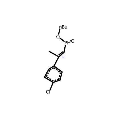 CCCCO[PH](=O)/C=C(\C)c1ccc(Cl)cc1